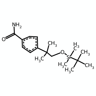 CC(C)(CO[Si](C)(C)C(C)(C)C)c1ccc(C(N)=O)cc1